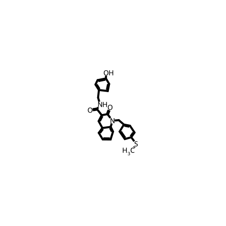 CSc1ccc(Cn2c(=O)c(C(=O)NCc3ccc(O)cc3)cc3ccccc32)cc1